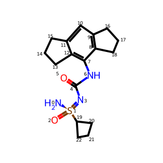 N[S@@](=O)(=NC(=O)Nc1c2c(cc3c1CCC3)CCC2)C1CCC1